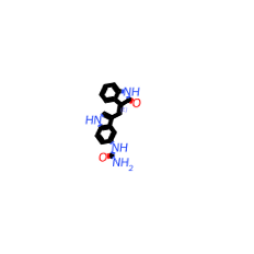 NC(=O)Nc1ccc2[nH]cc(/C=C3/C(=O)Nc4ccccc43)c2c1